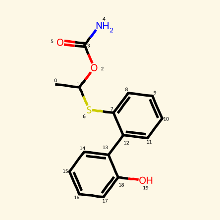 CC(OC(N)=O)Sc1ccccc1-c1ccccc1O